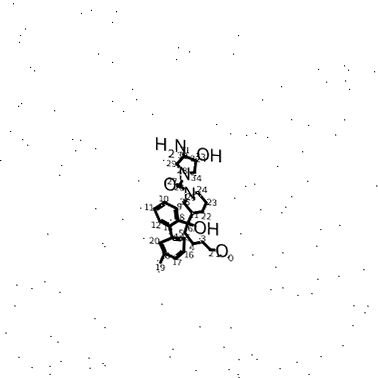 COCCCCC(O)(c1ccccc1-c1cccc(C)c1)C1CCCN(C(=O)N2CC(N)C(O)C2)C1